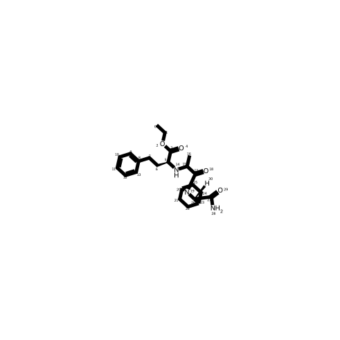 CCOC(=O)[C@H](CCc1ccccc1)NC(C)C(=O)N1C2CCC(CC2)[C@H]1C(N)=O